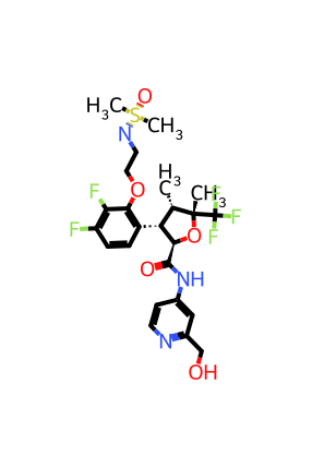 C[C@H]1[C@@H](c2ccc(F)c(F)c2OCCN=S(C)(C)=O)[C@H](C(=O)Nc2ccnc(CO)c2)O[C@@]1(C)C(F)(F)F